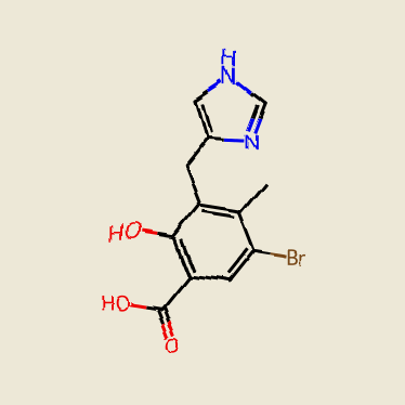 Cc1c(Br)cc(C(=O)O)c(O)c1Cc1c[nH]cn1